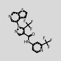 O=C(Nc1ccnc(C(F)(F)F)c1)c1cnn(-c2cncc3sccc23)c1C(F)(F)F